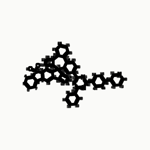 O=S1(=O)c2ccccc2-c2cc3c(cc21)C1(c2ccccc2-c2ccccc2-c2ccc(-c4nc(-c5ccccc5)nc(-c5ccc(-c6cccnc6)cc5)n4)cc21)c1ccccc1-3